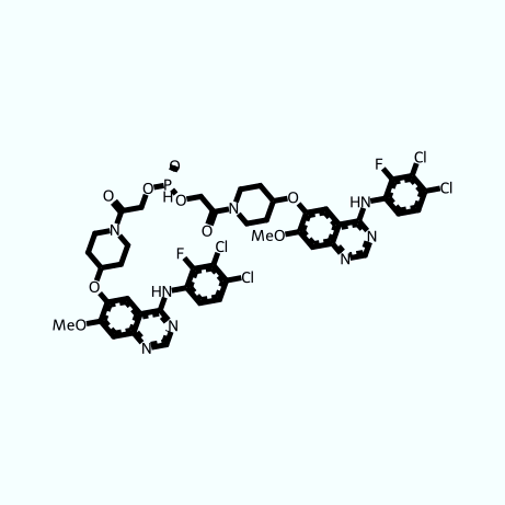 COc1cc2ncnc(Nc3ccc(Cl)c(Cl)c3F)c2cc1OC1CCN(C(=O)CO[PH](=O)OCC(=O)N2CCC(Oc3cc4c(Nc5ccc(Cl)c(Cl)c5F)ncnc4cc3OC)CC2)CC1